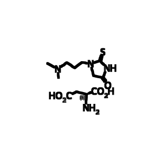 CN(C)CCCN1CC(=O)NC1=S.N[C@@H](CC(=O)O)C(=O)O